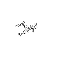 Cc1ccc(S(=O)(=O)N(CC(=O)Nc2cccc(Cl)c2C)Cc2ccc(N3CC(O)CC3=O)cc2)cc1